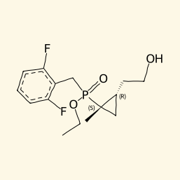 CCOP(=O)(Cc1c(F)cccc1F)[C@@]1(C)C[C@H]1CCO